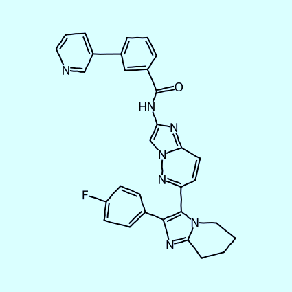 O=C(Nc1cn2nc(-c3c(-c4ccc(F)cc4)nc4n3CCCC4)ccc2n1)c1cccc(-c2cccnc2)c1